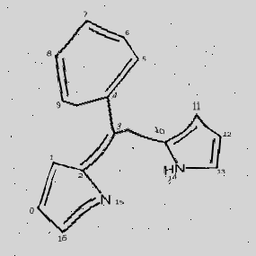 C1=C/C(=C(\c2ccccc2)c2ccc[nH]2)N=C1